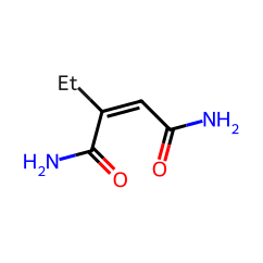 CC/C(=C/C(N)=O)C(N)=O